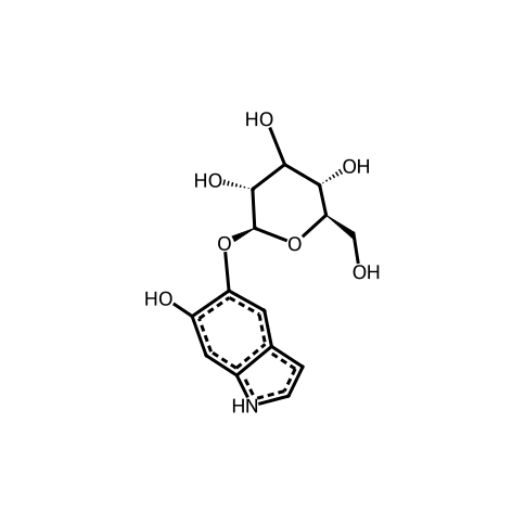 OC[C@H]1O[C@@H](Oc2cc3cc[nH]c3cc2O)[C@H](O)C(O)[C@@H]1O